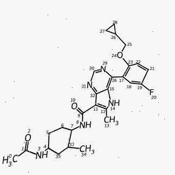 CC(=O)NC1CCC(NC(=O)c2c(C)[nH]c3c(-c4cc(F)ccc4OCC4CC4)ncnc23)C(C)C1